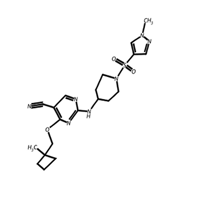 Cn1cc(S(=O)(=O)N2CCC(Nc3ncc(C#N)c(OCC4(C)CCC4)n3)CC2)cn1